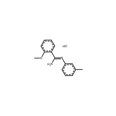 COc1ccccc1/C(N)=N/c1cccc(C)c1.Cl